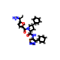 C[C@H](N)c1ccc(C(=O)N2C[C@@H](c3ccccc3)C[C@H]2C(=O)Nc2snnc2-c2ccccc2)o1